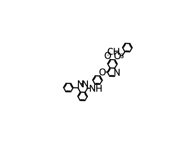 COc1cc2c(Oc3ccc(Nc4nnc(-c5ccccc5)c5ccccc45)cc3)ccnc2cc1OCc1ccccc1